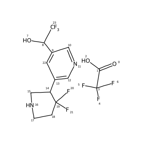 O=C(O)C(F)(F)F.OC(c1cncc(C2CNCCC2(F)F)c1)C(F)(F)F